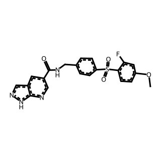 COc1ccc(S(=O)(=O)c2ccc(CNC(=O)c3cnc4[nH]ncc4c3)cc2)c(F)c1